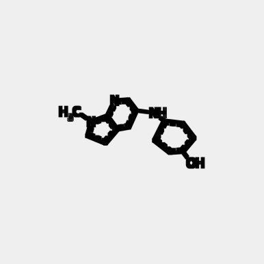 Cn1ccc2cc(Nc3ccc(O)cc3)cnc21